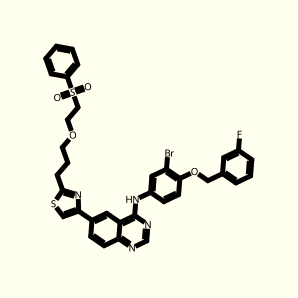 O=S(=O)(CCOCCCc1nc(-c2ccc3ncnc(Nc4ccc(OCc5cccc(F)c5)c(Br)c4)c3c2)cs1)c1ccccc1